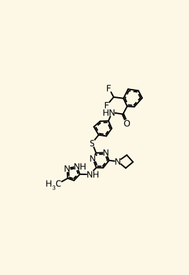 Cc1cc(Nc2cc(N3CCC3)nc(Sc3ccc(NC(=O)c4ccccc4C(F)F)cc3)n2)[nH]n1